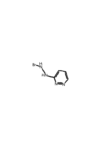 BrNNc1cccnn1